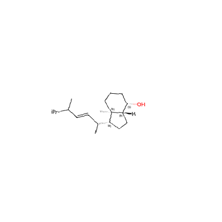 CC(C)C(C)C=CC(C)[C@H]1CC[C@H]2[C@@H](O)CCC[C@]12C